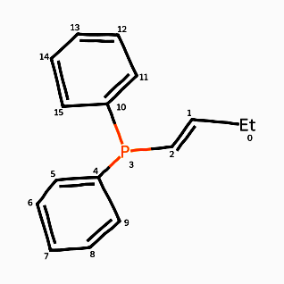 CCC=CP(c1ccccc1)c1ccccc1